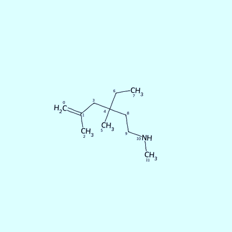 C=C(C)CC(C)(CC)CCNC